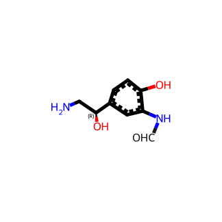 NC[C@H](O)c1ccc(O)c(NC=O)c1